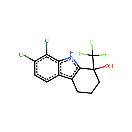 OC1(C(F)(F)F)CCCc2c1[nH]c1c(Cl)c(Cl)ccc21